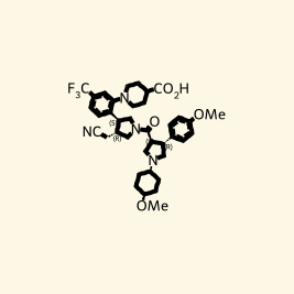 COc1ccc([C@@H]2CN([C@H]3CC[C@H](OC)CC3)C[C@H]2C(=O)N2C[C@H](CC#N)[C@@H](c3ccc(C(F)(F)F)cc3N3CCC(C(=O)O)CC3)C2)cc1